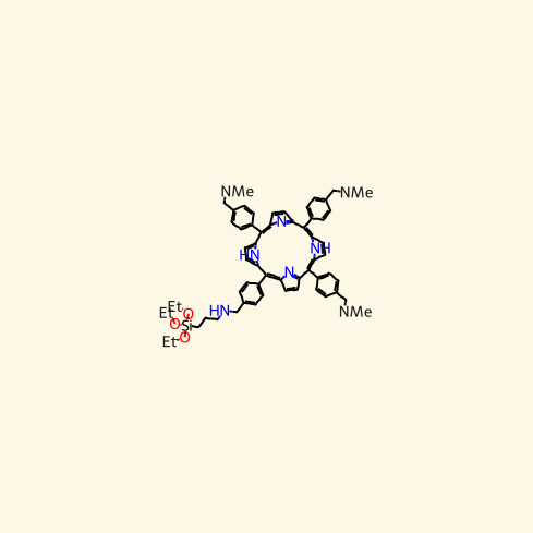 CCO[Si](CCCNCc1ccc(-c2c3nc(c(-c4ccc(CNC)cc4)c4ccc([nH]4)c(-c4ccc(CNC)cc4)c4nc(c(-c5ccc(CNC)cc5)c5ccc2[nH]5)C=C4)C=C3)cc1)(OCC)OCC